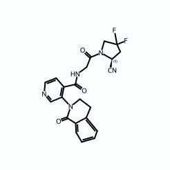 N#C[C@@H]1CC(F)(F)CN1C(=O)CNC(=O)c1ccncc1N1CCc2ccccc2C1=O